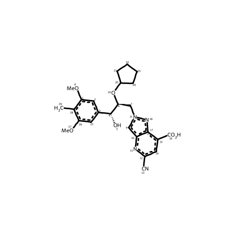 COc1cc([C@@H](O)[C@H](Cn2cc3nc(C#N)cc(C(=O)O)c3n2)OC2CCCC2)cc(OC)c1C